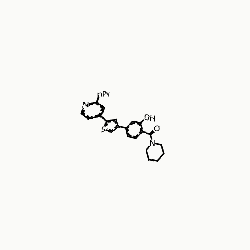 CCCc1cc(-c2cc(-c3ccc(C(=O)N4CCCCC4)c(O)c3)cs2)ccn1